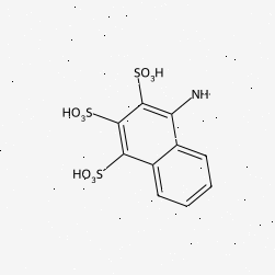 [NH]c1c(S(=O)(=O)O)c(S(=O)(=O)O)c(S(=O)(=O)O)c2ccccc12